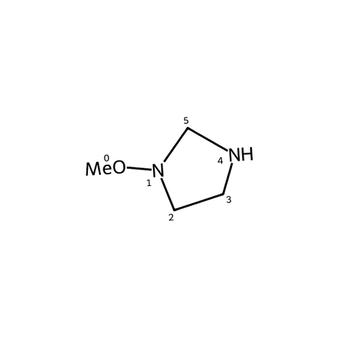 CON1CCNC1